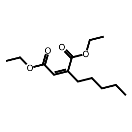 CCCCC/C(=C/C(=O)OCC)C(=O)OCC